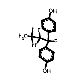 Oc1ccc(C(F)(c2ccc(O)cc2)C(F)(F)C(F)(F)C(F)(F)F)cc1